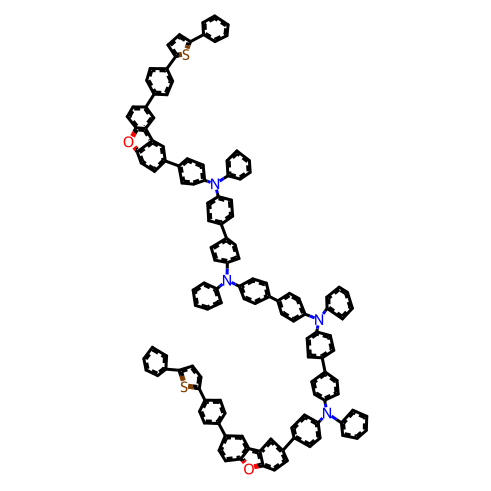 c1ccc(-c2ccc(-c3ccc(-c4ccc5oc6ccc(-c7ccc(N(c8ccccc8)c8ccc(-c9ccc(N(c%10ccccc%10)c%10ccc(-c%11ccc(N(c%12ccccc%12)c%12ccc(-c%13ccc(N(c%14ccccc%14)c%14ccc(-c%15ccc%16oc%17ccc(-c%18ccc(-c%19ccc(-c%20ccccc%20)s%19)cc%18)cc%17c%16c%15)cc%14)cc%13)cc%12)cc%11)cc%10)cc9)cc8)cc7)cc6c5c4)cc3)s2)cc1